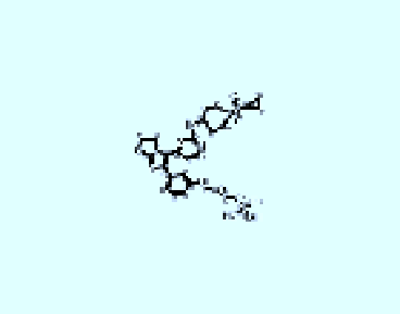 O=P(O)(O)OCOCOc1cccc(-c2nc3occn3c2-c2ccnc(NC3CCN(S(=O)(=O)C4CC4)CC3)n2)c1